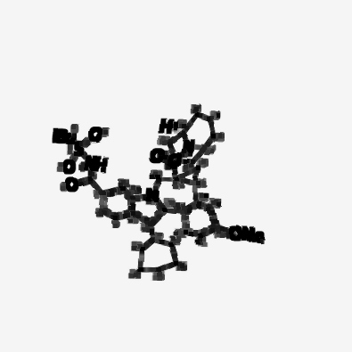 CCC(C)S(=O)(=O)NC(=O)c1ccc2c(C3CCCCC3)c3n(c2c1)CC1(C(=O)N2C4CCC[C@@H]2COC4)CC1c1cc(OC)ccc1-3